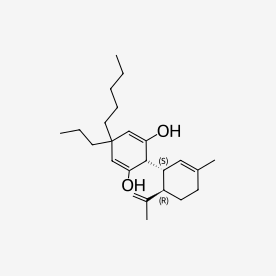 C=C(C)[C@@H]1CCC(C)=C[C@H]1C1C(O)=CC(CCC)(CCCCC)C=C1O